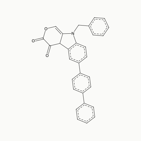 O=C1OC=C2C(C1=O)c1cc(-c3ccc(-c4ccccc4)cc3)ccc1N2Cc1ccccc1